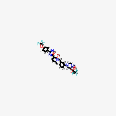 Cc1ccc(-c2nc(-c3ccc(OC(F)(F)F)cc3)no2)c(=O)n1Cc1cccc(N2CC[N+](C)(OC(=O)C(F)(F)F)CC2)c1